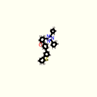 c1ccc(-c2nc(-c3ccccc3)nc(-c3cccc4oc5cc(-c6ccc7sc8ccccc8c7c6)ccc5c34)n2)cc1